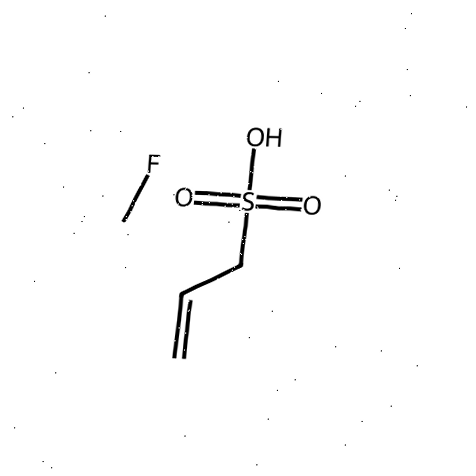 C=CCS(=O)(=O)O.CF